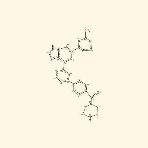 Cc1cccc(-c2nc(-c3cncc(-c4ccc(C(=O)N5CCNCC5)cc4)c3)c3cc[nH]c3n2)n1